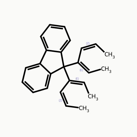 C/C=C\C(=C/C)C1(C(/C=C\C)=C/C)c2ccccc2-c2ccccc21